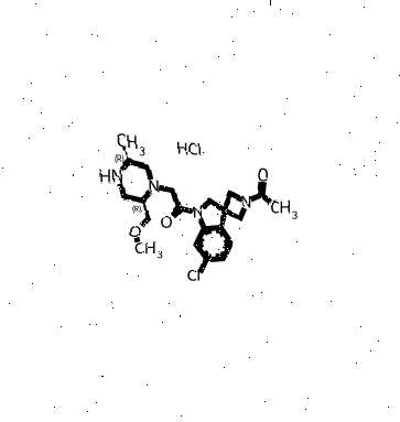 COC[C@H]1CN[C@H](C)CN1CC(=O)N1CC2(CN(C(C)=O)C2)c2ccc(Cl)cc21.Cl